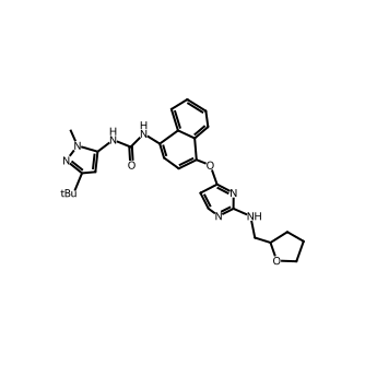 Cn1nc(C(C)(C)C)cc1NC(=O)Nc1ccc(Oc2ccnc(NCC3CCCO3)n2)c2ccccc12